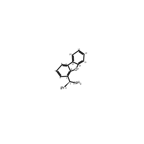 CC(C)[C@H](N)c1cccc2c1oc1ccccc12